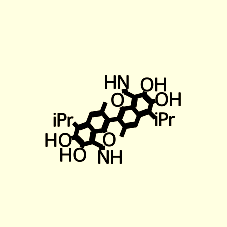 Cc1cc2c(C(C)C)c(O)c(O)c3c2c(c1-c1c(C)cc2c(C(C)C)c(O)c(O)c4c2c1OC4=N)OC3=N